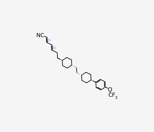 N#C/C=C/C=C/CC[C@H]1CC[C@H](CC[C@H]2CC[C@H](c3ccc(OC(F)(F)F)cc3)CC2)CC1